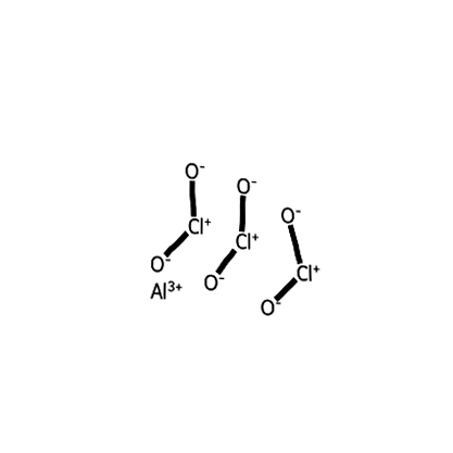 [Al+3].[O-][Cl+][O-].[O-][Cl+][O-].[O-][Cl+][O-]